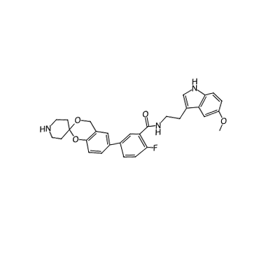 COc1ccc2[nH]cc(CCNC(=O)c3cc(-c4ccc5c(c4)COC4(CCNCC4)O5)ccc3F)c2c1